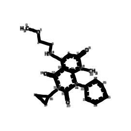 COCCNc1cc(=O)n(C)c2c1c(=O)n(C1CC1)c(=O)n2-c1ccccc1